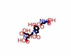 N[C@@H](CCC(=O)O)C(=O)Oc1cc2c(cc1O)N(/C=C/c1cc(C(=O)O)nc(C(=O)O)c1)[C@H](C(=O)O)C2